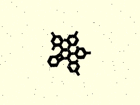 Cc1ccc(-c2c(-c3ccc(C)cc3C)c(-c3ccc(C)cc3C)c3c(c2-c2ccc(C)cc2C)=c2ccccc2=3)c(C)c1